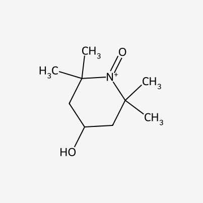 CC1(C)CC(O)CC(C)(C)[N+]1=O